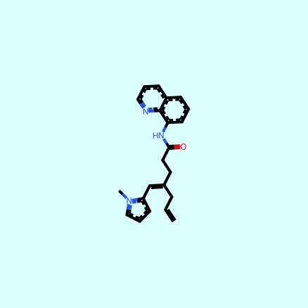 C=CCC(=Cc1cccn1C)CCC(=O)Nc1cccc2cccnc12